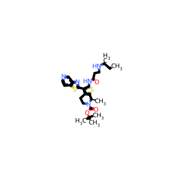 CC[C@H](C)NCCC(=O)Nc1sc2c(c1-c1nc3cnccc3s1)CCN(C(=O)OC(C)(C)C)[C@@H]2C